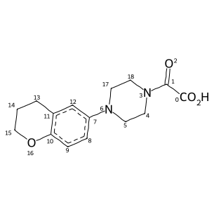 O=C(O)C(=O)N1CCN(c2ccc3c(c2)CCCO3)CC1